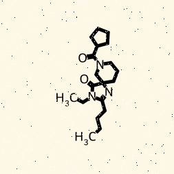 CCCCC1=NC2(CCCN(C(=O)C3CCCC3)C2)C(=O)N1CC